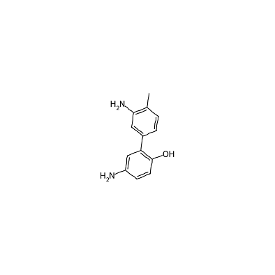 Cc1ccc(-c2cc(N)ccc2O)cc1N